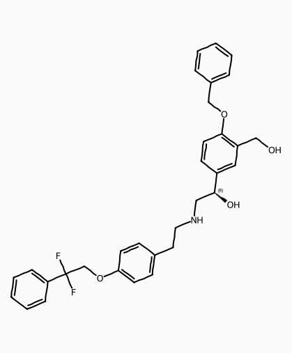 OCc1cc([C@@H](O)CNCCc2ccc(OCC(F)(F)c3ccccc3)cc2)ccc1OCc1ccccc1